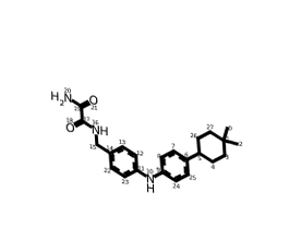 CC1(C)CCC(c2ccc(Nc3ccc(CNC(=O)C(N)=O)cc3)cc2)CC1